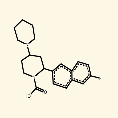 O=C(O)N1CCC(N2CCCCC2)CC1c1ccc2cc(F)ccc2c1